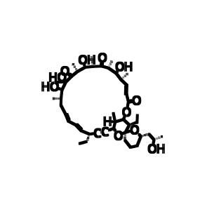 CC[C@@H]1/C=C/C=C/C[C@H](C)[C@@H](O)C(C)(O)C(=O)[C@H](C)[C@@H](O)[C@H](C)C(=O)[C@H](C)[C@@H](O)[C@H](C)/C=C/C(=O)OC2[C@@H](C)C(CC1)O[C@@]1(CCC[C@@H](C[C@H](C)O)O1)[C@@H]2CC